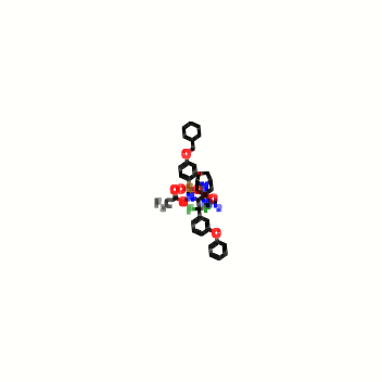 NC1CC2CCC(C1)N2C(=O)[C@H](N(OC(=O)C(F)(F)F)S(=O)(=O)c1ccc(OCC2CCCCC2)cc1)C(F)(F)c1cccc(Oc2ccccc2)c1